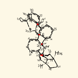 O=C1NC(=O)/C(=C/c2ccnc(N3C[C@H]4CC[C@@H](C3)C4CNCc3cccc(-c4ccsc4)n3)n2)S1